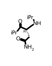 CC(C)N[C@H](CC(N)=O)C(=O)C(C)C